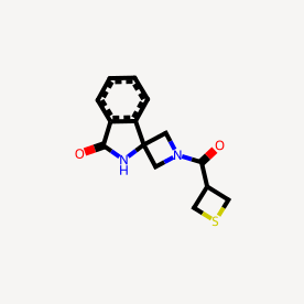 O=C1NC2(CN(C(=O)C3CSC3)C2)c2ccccc21